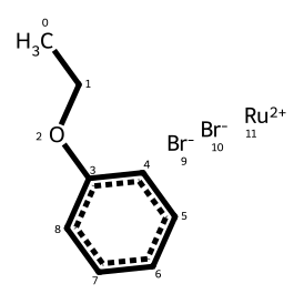 CCOc1ccccc1.[Br-].[Br-].[Ru+2]